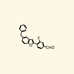 O=Cc1ccc(-c2cc3cc(Cc4ccccc4)ccc3o2)c(F)c1